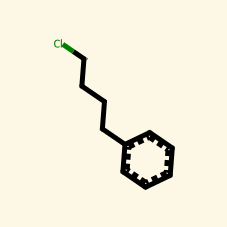 Cl[CH]CCCc1ccccc1